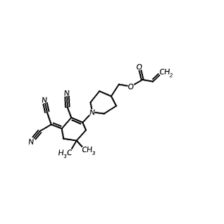 C=CC(=O)OCC1CCN(C2=C(C#N)C(=C(C#N)C#N)CC(C)(C)C2)CC1